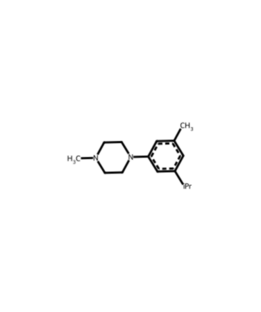 Cc1cc(C(C)C)cc(N2CCN(C)CC2)c1